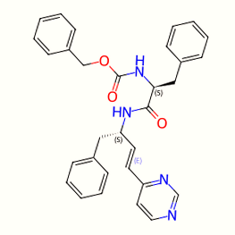 O=C(N[C@@H](Cc1ccccc1)C(=O)N[C@H](/C=C/c1ccncn1)Cc1ccccc1)OCc1ccccc1